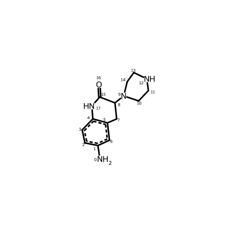 Nc1ccc2c(c1)CC(N1CCNCC1)C(=O)N2